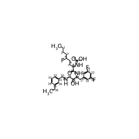 CCCCC(F)CC[C@@H](NC(=O)O)C(=O)N[C@@H](Cc1cc(F)cc(F)c1)[C@H](O)CNCc1cccc(CC)c1